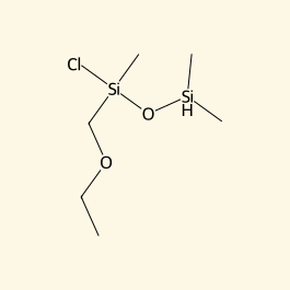 CCOC[Si](C)(Cl)O[SiH](C)C